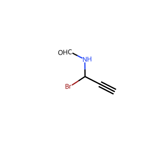 C#CC(Br)NC=O